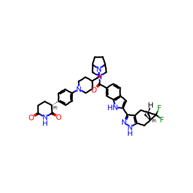 C[C@@]12Cc3[nH]nc(-c4cc5ccc(C(=O)N6CC7CCC(C6)N7CC6CCN(c7ccc([C@H]8CCC(=O)NC8=O)cc7)CC6)cc5[nH]4)c3C[C@@H]1C2(F)F